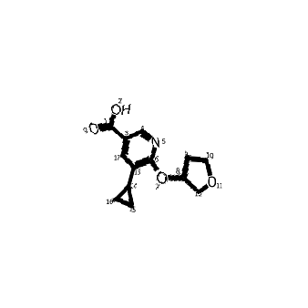 O=C(O)c1cnc(OC2CCOC2)c(C2CC2)c1